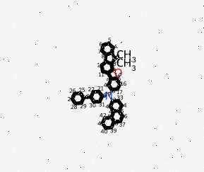 CC1(C)c2ccccc2-c2ccc3c(oc4ccc(N(c5ccc(-c6ccccc6)cc5)c5ccc6ccc7ccccc7c6c5)cc43)c21